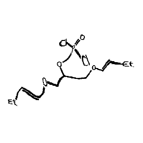 CCC=COCC(COC=CCC)OP(=O)(Cl)Cl